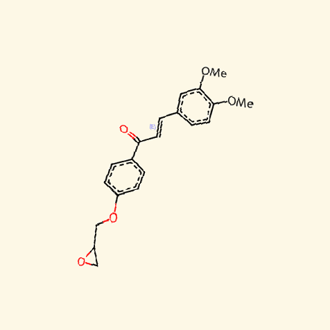 COc1ccc(/C=C/C(=O)c2ccc(OCC3CO3)cc2)cc1OC